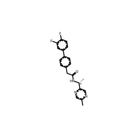 Cc1cnc([C@@H](C)NC(=O)Cc2ccc(-c3ccc(F)c(F)c3)cc2)cn1